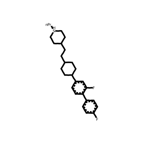 CCC[SiH]1CCC(CCC2CCC(c3ccc(-c4ccc(F)cc4)c(F)c3)CC2)CC1